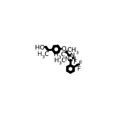 C/C(=C\O)c1ccc(OC(C)(C)c2nnc(-c3ccccc3C(F)(F)F)n2C)cc1